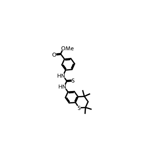 COC(=O)c1cccc(NC(=S)Nc2ccc3c(c2)C(C)(C)CC(C)(C)S3)c1